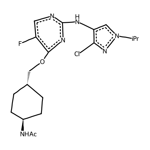 CC(=O)N[C@H]1CC[C@H](COc2nc(Nc3cn(C(C)C)nc3Cl)ncc2F)CC1